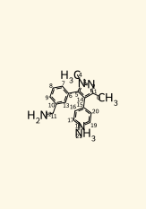 Cc1nn(C)c(-c2cccc(CN)c2)c1-c1ccncc1.N